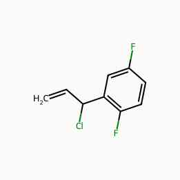 C=CC(Cl)c1cc(F)ccc1F